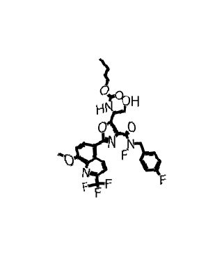 CCCCOC(=O)NC(CO)c1oc(-c2ccc(OC)c3nc(C(F)(F)F)ccc23)nc1C(=O)N(F)Cc1ccc(F)cc1